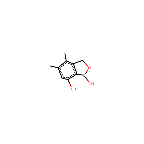 Cc1cc(O)c2c(c1C)COB2O